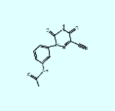 CC(=O)Nc1cccc(-n2nc(C#N)c(=O)[nH]c2=O)c1